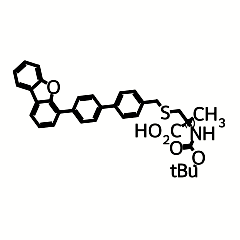 CC(C)(C)OC(=O)N[C@@](C)(CSCc1ccc(-c2ccc(-c3cccc4c3oc3ccccc34)cc2)cc1)C(=O)O